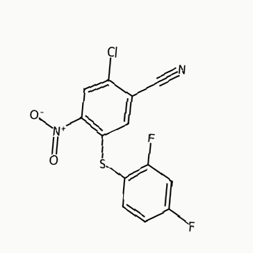 N#Cc1cc(Sc2ccc(F)cc2F)c([N+](=O)[O-])cc1Cl